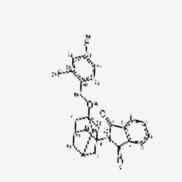 O=C1c2ccccc2C(=O)N1C12CC3CC(CC(OCc4ccc(F)cc4F)(C3)C1)C2